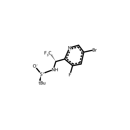 CC(C)(C)[S@@+]([O-])N[C@@H](c1ncc(Br)cc1F)C(F)(F)F